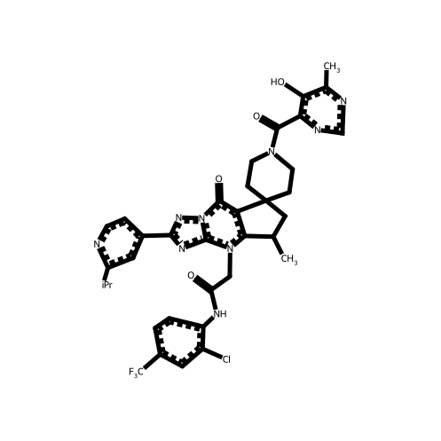 Cc1ncnc(C(=O)N2CCC3(CC2)CC(C)c2c3c(=O)n3nc(-c4ccnc(C(C)C)c4)nc3n2CC(=O)Nc2ccc(C(F)(F)F)cc2Cl)c1O